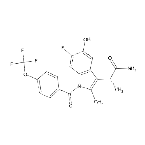 Cc1c([C@@H](C)C(N)=O)c2cc(O)c(F)cc2n1C(=O)c1ccc(OC(F)(F)F)cc1